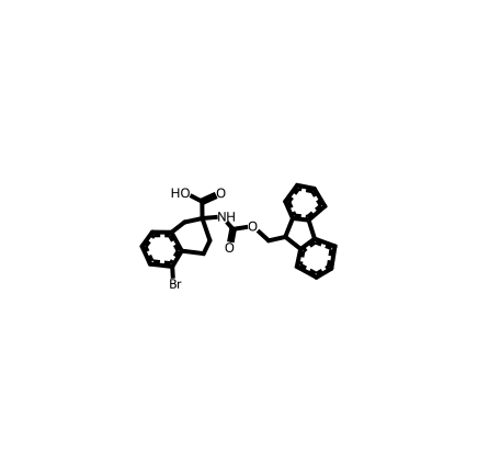 O=C(NC1(C(=O)O)CCc2c(Br)cccc2C1)OCC1c2ccccc2-c2ccccc21